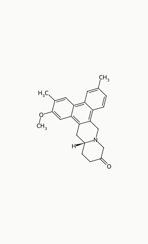 COc1cc2c3c(c4ccc(C)cc4c2cc1C)CN1CC(=O)CC[C@@H]1C3